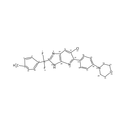 Cc1ccc(C(F)(F)c2nc3cc(Cl)c(-c4ccc(N5CCOCC5)cc4)nc3[nH]2)cc1